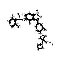 C[C@@H](Oc1ccc2[nH]nc(-c3cnc(N4CC(C)(N5CCC5)C4)c(F)c3)c2c1F)c1c(Cl)cncc1Cl